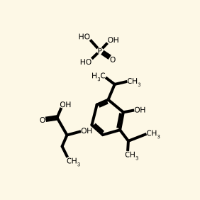 CC(C)c1cccc(C(C)C)c1O.CCC(O)C(=O)O.O=P(O)(O)O